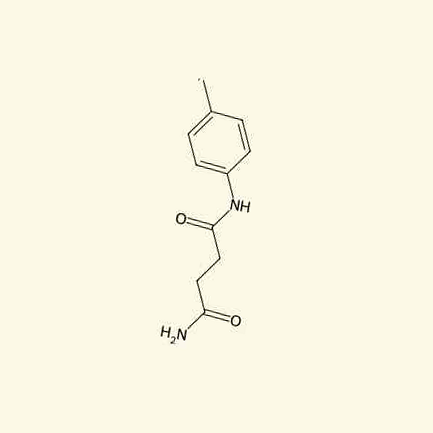 [CH2]c1ccc(NC(=O)CCC(N)=O)cc1